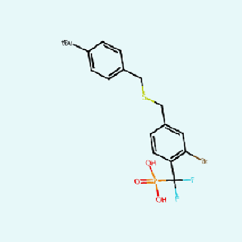 CC(C)(C)c1ccc(CSCc2ccc(C(F)(F)P(=O)(O)O)c(Br)c2)cc1